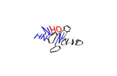 O=CC1c2ccccc2C(O)(c2ccc3[nH]cnc3c2)N1Cc1ccccc1